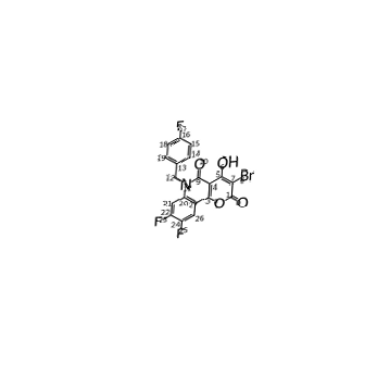 O=c1oc2c(c(O)c1Br)c(=O)n(Cc1ccc(F)cc1)c1cc(F)c(F)cc21